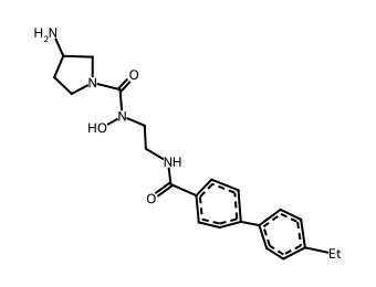 CCc1ccc(-c2ccc(C(=O)NCCN(O)C(=O)N3CCC(N)C3)cc2)cc1